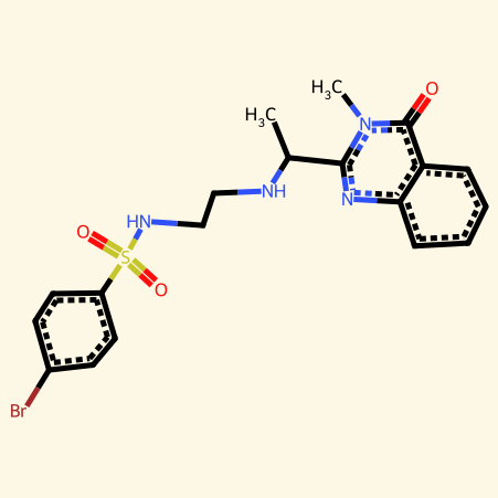 CC(NCCNS(=O)(=O)c1ccc(Br)cc1)c1nc2ccccc2c(=O)n1C